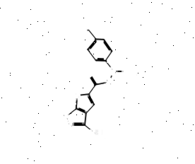 CN(NC(=O)c1cc2c(N)n[nH]c2s1)c1ccc(Cl)cc1